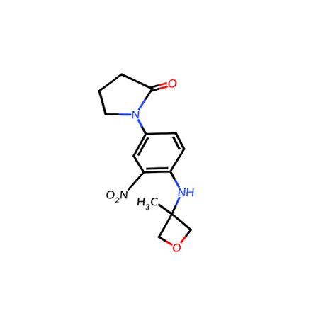 CC1(Nc2ccc(N3CCCC3=O)cc2[N+](=O)[O-])COC1